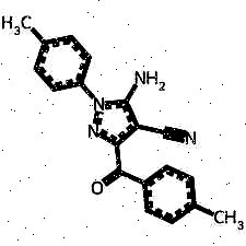 Cc1ccc(C(=O)c2nn(-c3ccc(C)cc3)c(N)c2C#N)cc1